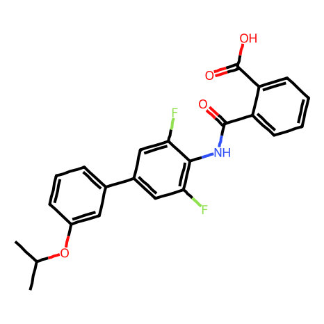 CC(C)Oc1cccc(-c2cc(F)c(NC(=O)c3ccccc3C(=O)O)c(F)c2)c1